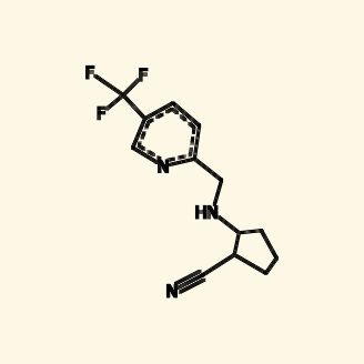 N#CC1CCCC1NCc1ccc(C(F)(F)F)cn1